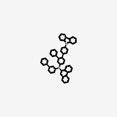 c1ccc(-c2cccc(N(c3ccc(-c4ccc(-n5c6ccccc6c6ccccc65)cc4)c(-c4ccccc4)c3)c3cc4ccccc4c4ccccc34)c2)cc1